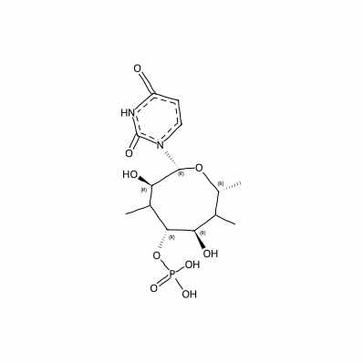 CC1[C@@H](O)[C@H](n2ccc(=O)[nH]c2=O)O[C@H](C)C(C)[C@@H](O)[C@@H]1OP(=O)(O)O